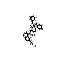 COc1ccc2nccc([C@H](O)CC3CCCN(N(Cc4ccccc4)Cc4ccccc4)C3=O)c2c1